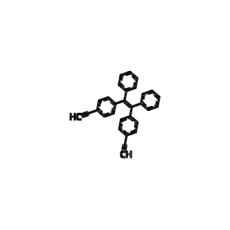 C#Cc1ccc(C(=C(c2ccccc2)c2ccc(C#C)cc2)c2ccccc2)cc1